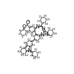 O=c1oc2ccccc2c2cc3c(cc12)nc(-c1ccccc1)nc(-c1ccccc1)[nH]c1ccc(-c2ccc4c5ccccc5n(-c5ccccc5)c4c2)cc13